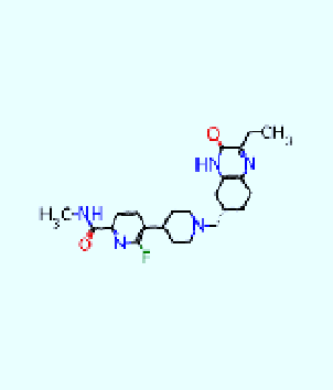 CCc1nc2c([nH]c1=O)C[C@@H](CN1CCC(c3ccc(C(=O)NC)nc3F)CC1)CC2